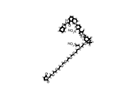 CCC1(Cn2ncc(-c3ccc(N4CCc5cccc(C(=O)Nc6nc7ccccc7s6)c5C4)nc3C(=O)O)c2C)CC2(C)CC(C)(C)CC(OCCN(CCCOCCOCCOCCOCCOCCOCCN3C(=O)C=CC3=O)CCS(=O)(=O)O)(C2)C1